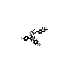 O=C1C=c2ccc(CCN3C(=O)CO[C@H]3c3nn(-c4ccc(Br)cc4)nc3-c3ccc(F)cc3)cc2=N1